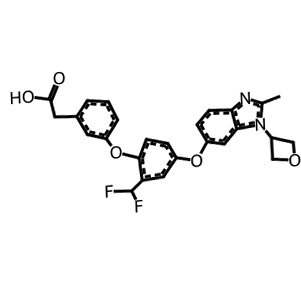 Cc1nc2ccc(Oc3ccc(Oc4cccc(CC(=O)O)c4)c(C(F)F)c3)cc2n1C1COC1